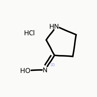 Cl.O/N=C1/CCNC1